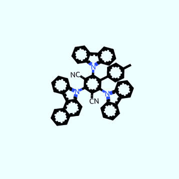 Cc1ccc(-c2c(-n3c4ccccc4c4ccccc43)c(C#N)c(-n3c4ccccc4c4c5ccccc5ccc43)c(C#N)c2-n2c3ccccc3c3ccccc32)cc1